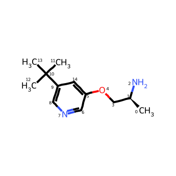 C[C@H](N)COc1cncc(C(C)(C)C)c1